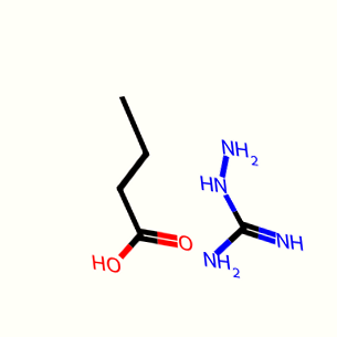 CCCC(=O)O.N=C(N)NN